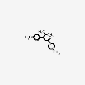 Cc1ccc(C(CC(=O)N2CCN(C)CC2)C(C)C)cc1